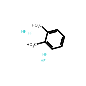 F.F.F.F.O=C(O)c1ccccc1C(=O)O